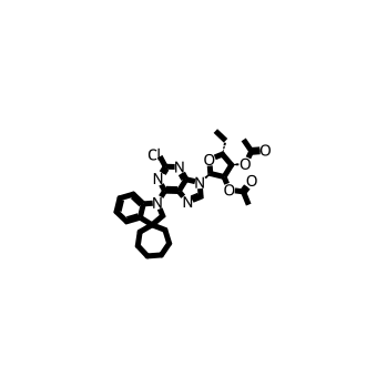 CC[C@H]1O[C@@H](n2cnc3c(N4CC5(CCCCCC5)c5ccccc54)nc(Cl)nc32)C(OC(C)=O)[C@H]1OC(C)=O